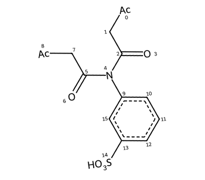 CC(=O)CC(=O)N(C(=O)CC(C)=O)c1cccc(S(=O)(=O)O)c1